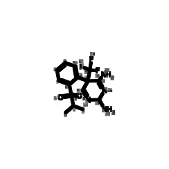 CC(C)S(=O)(=O)c1ccccc1C1(C(F)(F)F)C=NC(N)N=C1N